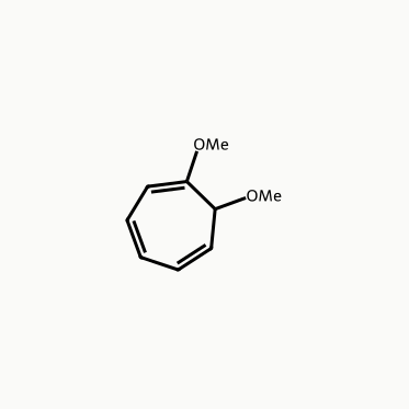 COC1=CC=CC=CC1OC